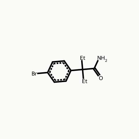 CCC(CC)(C(N)=O)c1ccc(Br)cc1